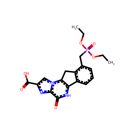 CCOP(=O)(Cc1cccc2c1Cc1c-2[nH]c(=O)c2nc(C(=O)O)cn12)OCC